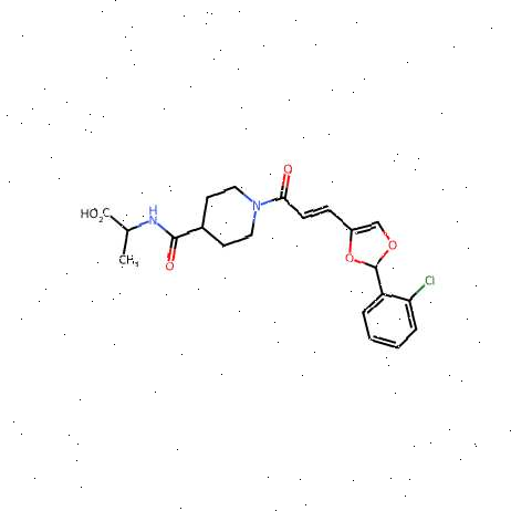 CC(NC(=O)C1CCN(C(=O)C=CC2=COC(c3ccccc3Cl)O2)CC1)C(=O)O